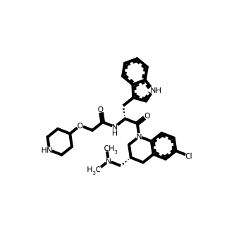 CN(C)C[C@H]1Cc2cc(Cl)ccc2N(C(=O)[C@@H](Cc2c[nH]c3ccccc23)NC(=O)COC2CCNCC2)C1